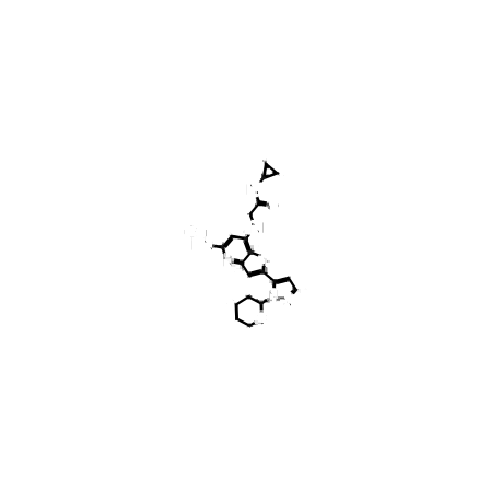 CC(C)(C)Nc1cc(NCC(=O)NC2CC2)c2sc(-c3ccnn3C3CCCCO3)cc2n1